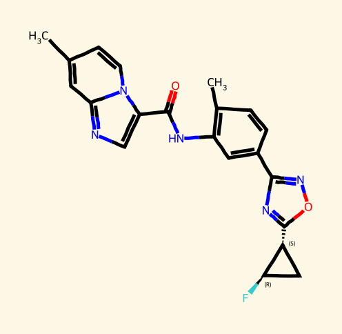 Cc1ccn2c(C(=O)Nc3cc(-c4noc([C@@H]5C[C@H]5F)n4)ccc3C)cnc2c1